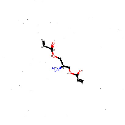 C=CC(=O)OCC(N)COC(=O)C=C